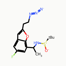 CC(N[S@+]([O-])C(C)(C)C)c1cc(F)cc2cc(CCN=[N+]=[N-])oc12